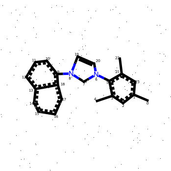 Cc1cc(C)c(N2[C]N(c3cccc4ccccc34)C=C2)c(C)c1